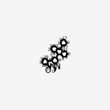 Cc1nc2cc(-c3c4ccccc4c(-c4ccccc4)c4ccccc34)cc3c4ccccc4c(=O)n1c23